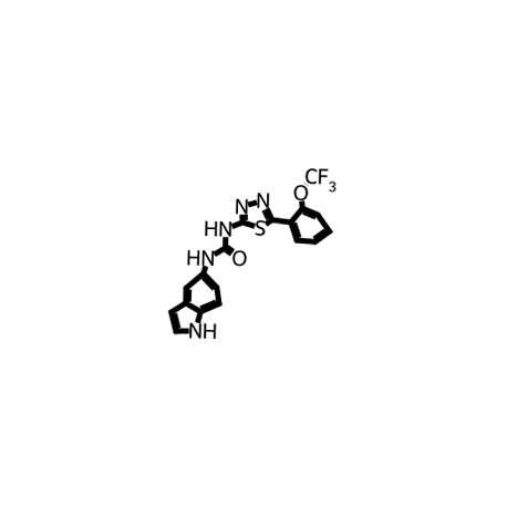 O=C(Nc1ccc2[nH]ccc2c1)Nc1nnc(-c2ccccc2OC(F)(F)F)s1